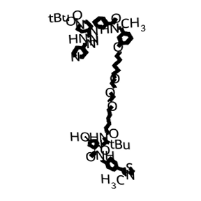 Cc1ncsc1-c1ccc(CNC(=O)[C@@H]2C[C@@H](O)CN2C(=O)C(NC(=O)CCCCCOCCOCCOCCCCCCOc2cccc(C(C)NC(=O)c3cccc(NC4(c5nnc(-c6ccncc6)[nH]5)CCN(C(=O)OC(C)(C)C)CC4)c3)c2)C(C)(C)C)cc1